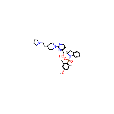 COc1cc(C)c(S(=O)(=O)N2c3ccccc3C[C@H]2C(O)c2ccnc(N3CCC(CCN4CCCC4)CC3)n2)c(C)c1